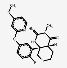 COc1ccnc(Oc2ccc(F)c([C@]34COCC[C@H]3C(=O)N(C)C(=N)N4)c2)c1